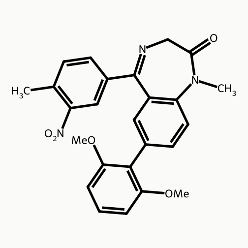 COc1cccc(OC)c1-c1ccc2c(c1)C(c1ccc(C)c([N+](=O)[O-])c1)=NCC(=O)N2C